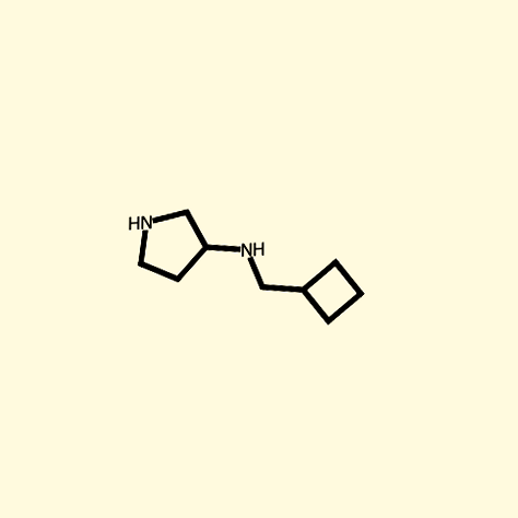 C1CC(CNC2CCNC2)C1